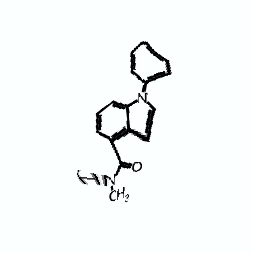 CNC(=O)c1cccc2c1ccn2-c1ccccc1